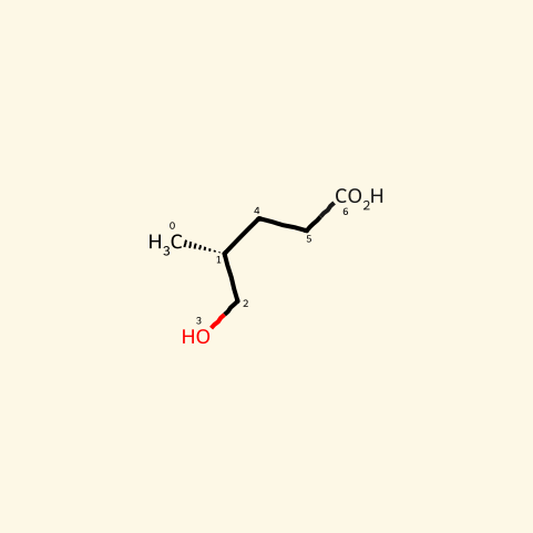 C[C@@H](CO)CCC(=O)O